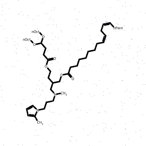 CCCCC/C=C\C/C=C\CCCCCCCC(=O)OCC(CCOC(=O)CCC(OCCCCCCCC)OCCCCCCCC)CN(C)CCCn1cccc1C